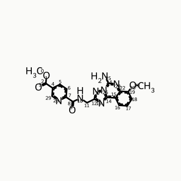 COC(=O)c1ccc(C(=O)NCc2nc3c4cccc(OC)c4nc(N)n3n2)nc1